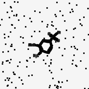 CCS(=O)(=O)c1ccc(C)c(OC)c1